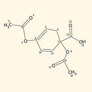 CC(=O)OC1=CCC(OC(C)=O)(C(=O)O)C=C1